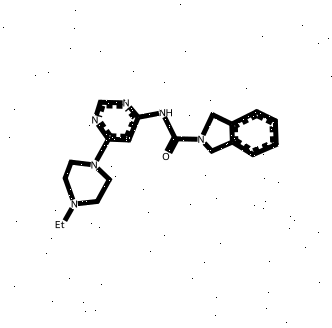 CCN1CCN(c2cc(NC(=O)N3Cc4ccccc4C3)ncn2)CC1